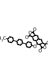 Cc1ccc(-c2ccc(-c3ccc(Oc4c5cc6c(=O)oc(=O)c6cc5cc5c(=O)oc(=O)c45)cc3)cc2)cc1